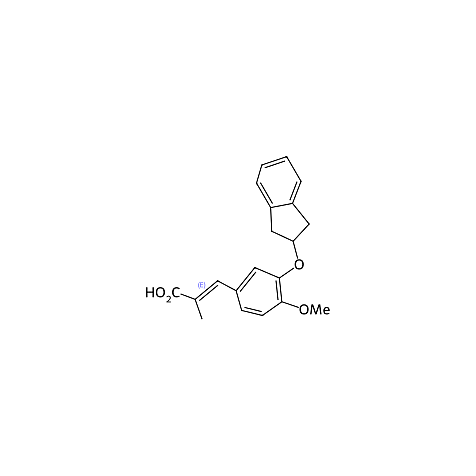 COc1ccc(/C=C(\C)C(=O)O)cc1OC1Cc2ccccc2C1